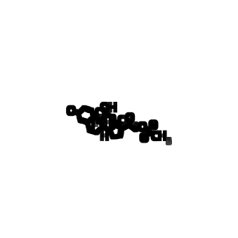 C[C@]12C=CC(=O)C=C1CC[C@H]1[C@@H]3CC=C(C(=O)COS(C)(=O)=O)[C@@]3(C)C[C@H](O)C12F